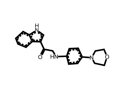 O=C(CNc1ccc(N2CCOCC2)cc1)c1c[nH]c2ccccc12